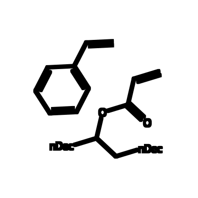 C=CC(=O)OC(CCCCCCCCCC)CCCCCCCCCCC.C=Cc1ccccc1